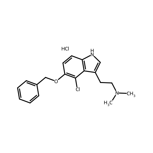 CN(C)CCc1c[nH]c2ccc(OCc3ccccc3)c(Cl)c12.Cl